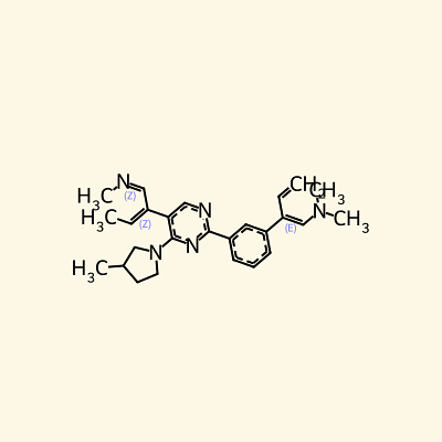 C=C/C(=C\N(C)C)c1cccc(-c2ncc(C(/C=N\C)=C/C)c(N3CCC(C)C3)n2)c1